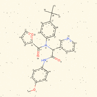 COc1ccc(NC(=O)C(c2cccnc2)N(C(=O)c2ccco2)c2ccc(C(C)(C)C)cc2)cc1